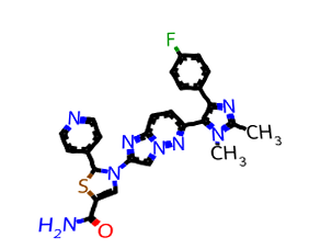 Cc1nc(-c2ccc(F)cc2)c(-c2ccc3nc(N4C=C(C(N)=O)SC4c4ccncc4)cn3n2)n1C